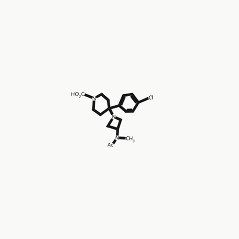 CC(=O)N(C)C1CN(C2(c3ccc(Cl)cc3)CCN(C(=O)O)CC2)C1